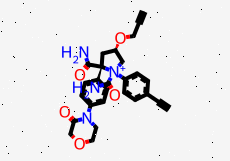 C#CCO[C@@H]1C[C@](C(N)=O)(c2ccc(N3CCOCC3=O)cc2)[N+](C(N)=O)(c2ccc(C#C)cc2)C1